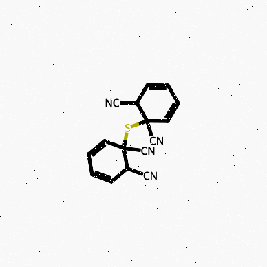 N#CC1C=CC=CC1(C#N)SC1(C#N)C=CC=CC1C#N